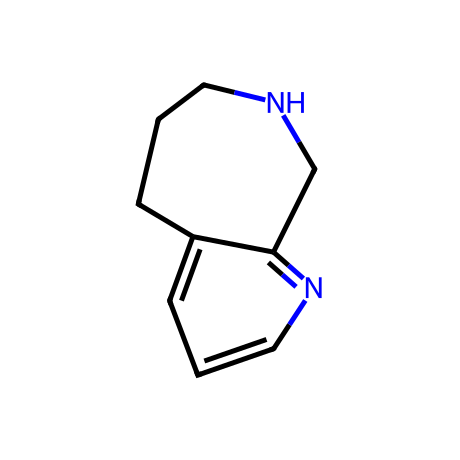 c1cnc2c(c1)CCCNC2